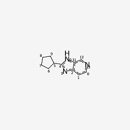 c1cc2nc(C3CCCC3)[nH]c2cn1